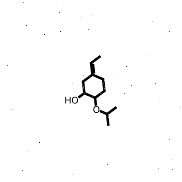 C/C=C1\CCC(OC(C)C)C(O)C1